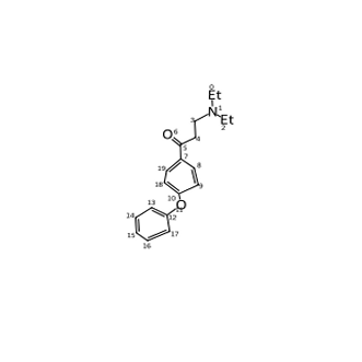 CCN(CC)CCC(=O)c1ccc(Oc2ccccc2)cc1